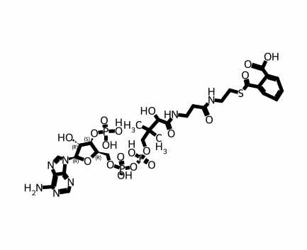 CC(C)(COP(=O)(O)OP(=O)(O)OC[C@H]1O[C@@H](n2cnc3c(N)ncnc32)[C@H](O)[C@@H]1OP(=O)(O)O)C(O)C(=O)NCCC(=O)NCCSC(=O)c1ccccc1C(=O)O